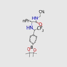 CCC[C@H](NC(c1ccc(B2OC(C)(C)C(C)(C)O2)cc1)C(F)(F)F)C(=O)NCC#N